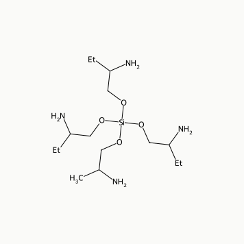 CCC(N)CO[Si](OCC(C)N)(OCC(N)CC)OCC(N)CC